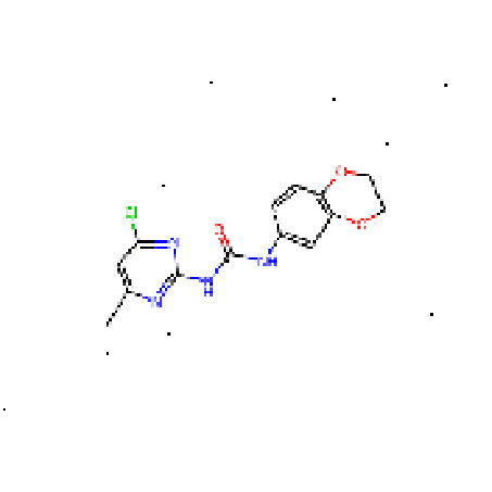 Cc1cc(Cl)nc(NC(=O)Nc2ccc3c(c2)OCCO3)n1